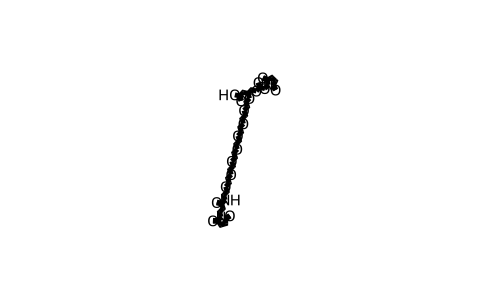 O=C(O)CC(COC(=O)ON1C(=O)CCC1=O)OCCOCCOCCOCCOCCOCCOCCOCCNC(=O)CCN1C(=O)C=CC1=O